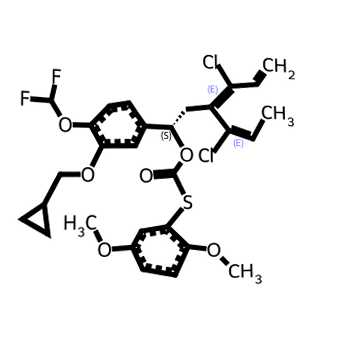 C=C/C(Cl)=C(C[C@H](OC(=O)Sc1cc(OC)ccc1OC)c1ccc(OC(F)F)c(OCC2CC2)c1)\C(Cl)=C/C